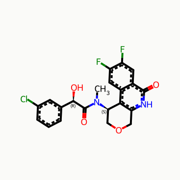 CN(C(=O)[C@H](O)c1cccc(Cl)c1)[C@@H]1COCc2[nH]c(=O)c3cc(F)c(F)cc3c21